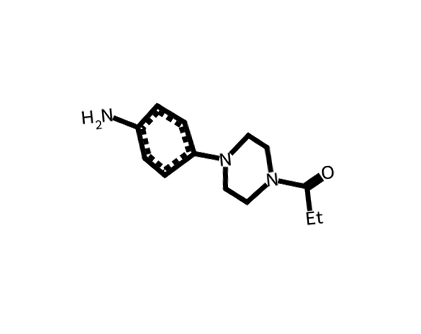 CCC(=O)N1CCN(c2ccc(N)cc2)CC1